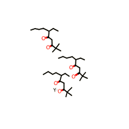 CCCCC(CC)C(=O)CC(=O)C(C)(C)C.CCCCC(CC)C(=O)CC(=O)C(C)(C)C.CCCCC(CC)C(=O)CC(=O)C(C)(C)C.[Y]